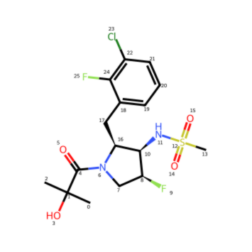 CC(C)(O)C(=O)N1C[C@H](F)[C@H](NS(C)(=O)=O)[C@@H]1Cc1cccc(Cl)c1F